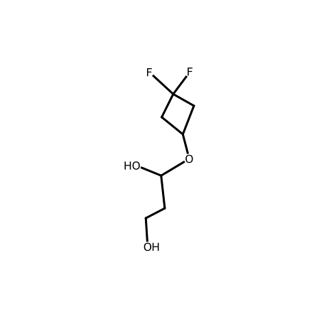 OCCC(O)OC1CC(F)(F)C1